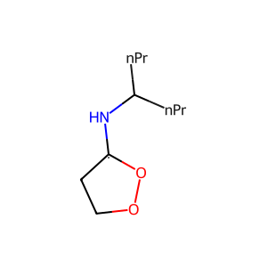 CCCC(CCC)N[C]1CCOO1